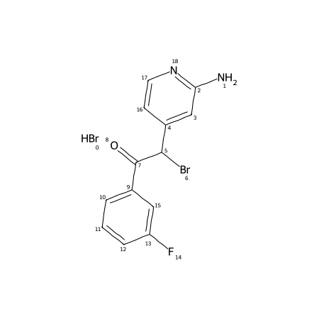 Br.Nc1cc(C(Br)C(=O)c2cccc(F)c2)ccn1